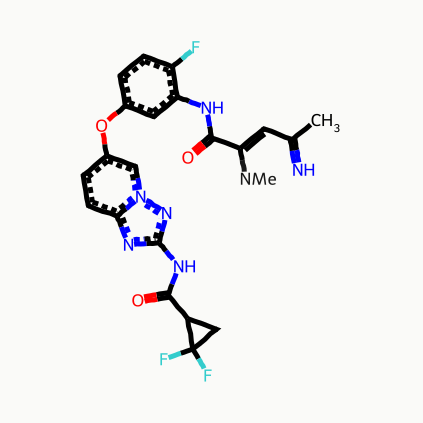 CN/C(=C\C(C)=N)C(=O)Nc1cc(Oc2ccc3nc(NC(=O)C4CC4(F)F)nn3c2)ccc1F